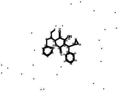 CCC(Cc1ccccn1)C1OC(=O)C(C(c2ccccc2)C2CC2)=C(O)C1=O